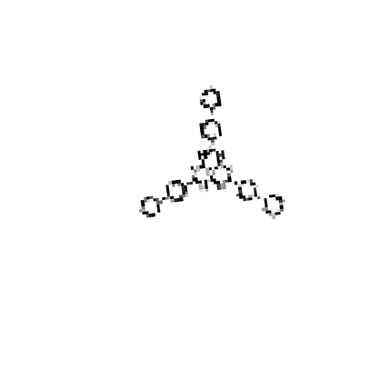 c1ccc(-c2ccc(C3=NC4=NC(c5ccc(-c6ccccc6)cc5)=NC5=NC(c6ccc(-c7ccccc7)cc6)=NC(=N3)N45)cc2)cc1